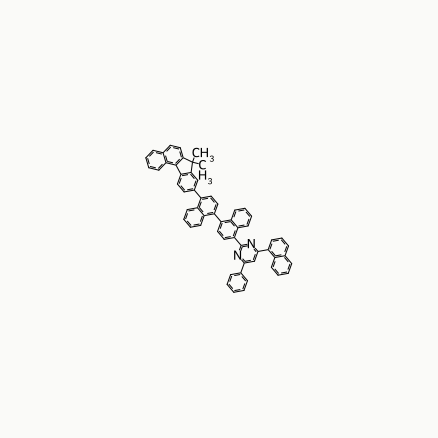 CC1(C)c2cc(-c3ccc(-c4ccc(-c5nc(-c6ccccc6)cc(-c6cccc7ccccc67)n5)c5ccccc45)c4ccccc34)ccc2-c2c1ccc1ccccc21